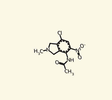 CC(=O)Nc1c([N+](=O)[O-])cc(Cl)c2c1CN(C)C2